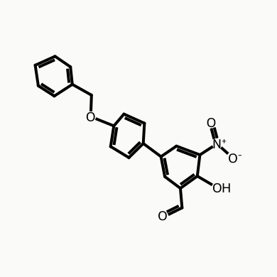 O=Cc1cc(-c2ccc(OCc3ccccc3)cc2)cc([N+](=O)[O-])c1O